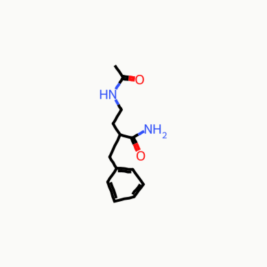 CC(=O)NCCC(Cc1ccccc1)C(N)=O